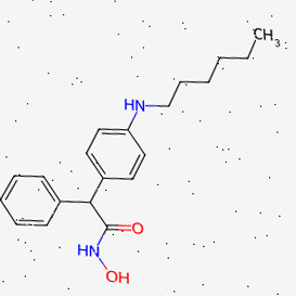 CCCCCCNc1ccc(C(C(=O)NO)c2ccccc2)cc1